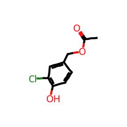 CC(=O)OCc1ccc(O)c(Cl)c1